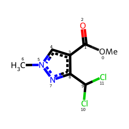 COC(=O)c1cn(C)nc1C(Cl)Cl